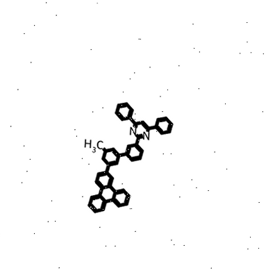 CC1C=C(c2cccc(-c3nc(-c4ccccc4)cc(-c4ccccc4)n3)c2)C=C(c2ccc3c4ccccc4c4ccccc4c3c2)C1